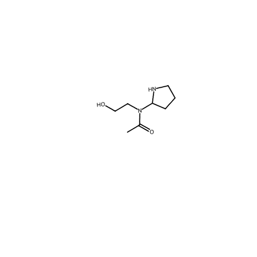 CC(=O)N(CCO)C1CCCN1